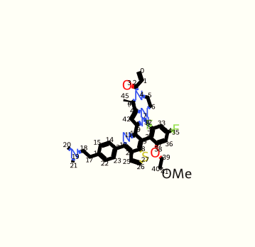 C=CC(=O)N1CCn2nc(-c3nc(-c4ccc(CCN(C)C)cc4)c4ccsc4c3-c3c(F)cc(F)cc3OCCOC)cc2[C@H]1C